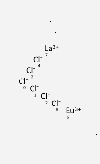 [Cl-].[Cl-].[Cl-].[Cl-].[Cl-].[Cl-].[Eu+3].[La+3]